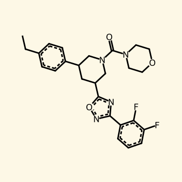 CCc1ccc(C2CC(c3nc(-c4cccc(F)c4F)no3)CN(C(=O)N3CCOCC3)C2)cc1